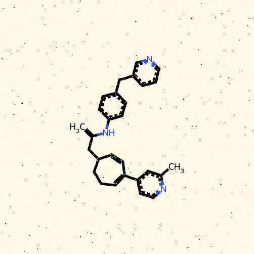 C=C(CC1C=CC(c2ccnc(C)c2)=CCC1)Nc1ccc(Cc2cccnc2)cc1